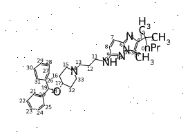 CCCC(C)(C)c1nc2ccc(NCCCN3CCC(OC(c4ccccc4)c4ccccc4)CC3)nn2c1C